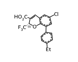 CCc1ccc(-c2cc(Cl)cc3c2O[C@H](C(F)(F)F)C(C(=O)O)=C3)cc1